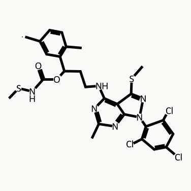 [CH2]c1ccc(C)c(C(CCNc2nc(C)nc3c2c(SC)nn3-c2c(Cl)cc(Cl)cc2Cl)OC(=O)NSC)c1